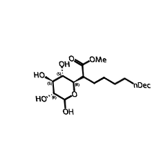 CCCCCCCCCCCCCCC(C(=O)OC)[C@H]1OC(O)[C@H](O)[C@@H](O)[C@@H]1O